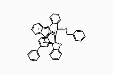 C=N/C(=N\C(=N/Cc1ccccc1)c1ccccc1-n1c2ccccc2c2cc3c(cc21)oc1ccccc13)c1ccc(-c2ccccc2)cc1